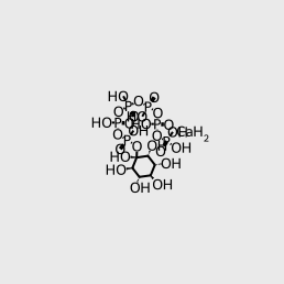 O=P(O)(O)OP(=O)(O)OP(=O)(O)OP(=O)(O)OP(=O)(O)OP(=O)(O)O[C@]1(O)[C@H](O)[C@H](O)[C@@H](O)[C@H](O)[C@H]1O.[CaH2]